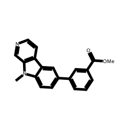 COC(=O)c1cccc(-c2ccc3c(c2)c2ccncc2n3C)c1